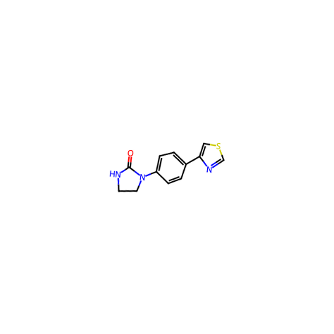 O=C1NCCN1c1ccc(-c2cscn2)cc1